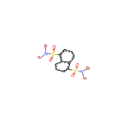 O=S(=O)(c1cccc2c(S(=O)(=O)N(Br)Br)cccc12)N(Br)Br